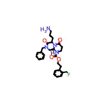 NCCCC1C(=O)N(Cc2ccccc2)C[C@@H]2N(C(=O)OCCc3ccccc3CF)CCC(=O)N12